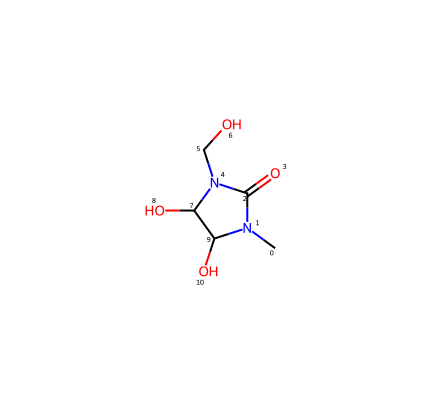 CN1C(=O)N(CO)C(O)C1O